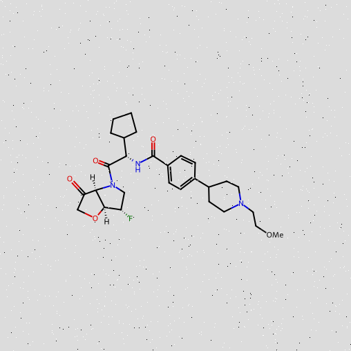 COCCN1CCC(c2ccc(C(=O)N[C@H](C(=O)N3C[C@H](F)[C@H]4OCC(=O)[C@H]43)C3CCCC3)cc2)CC1